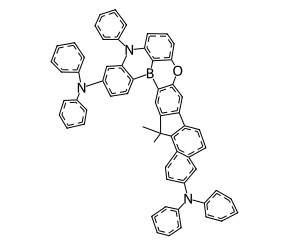 CC1(C)c2cc3c(cc2-c2ccc4cc(N(c5ccccc5)c5ccccc5)ccc4c21)Oc1cccc2c1B3c1ccc(N(c3ccccc3)c3ccccc3)cc1N2c1ccccc1